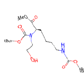 COC(=O)[C@@H](CCCCNC(=O)OC(C)(C)C)N(CCO)C(=O)OC(C)(C)C